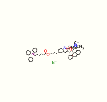 COc1nc2ccc(CCCCOC(=O)CCCCC[P+](c3ccccc3)(c3ccccc3)c3ccccc3)cc2cc1C(c1ccccc1)C(O)(CCN(C)C)c1cccc2ccccc12.[Br-]